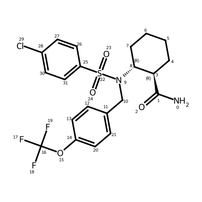 NC(=O)[C@@H]1CCCC[C@H]1N(Cc1ccc(OC(F)(F)F)cc1)S(=O)(=O)c1ccc(Cl)cc1